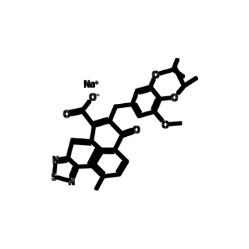 COc1cc(C/C(C(=O)c2ccc(C)cc2)=C(\C(=O)[O-])c2ccc3nsnc3c2)cc(OC(C)C)c1OC(C)C.[Na+]